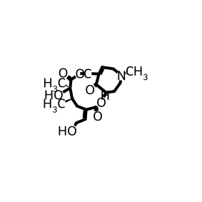 C[C@@H]1C/C(=C\CO)C(=O)O[C@@H]2CCN(C)C/C=C(/COC(=O)[C@]1(C)O)C2=O